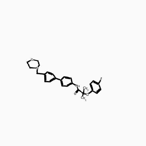 CC(C)(Oc1ccc(F)cc1)C(=O)Nc1ccc(-c2ccc(CN3CCOCC3)cc2)cc1